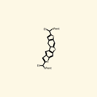 CCCCCC(CC)c1cc2c(s1)C=C1Sc3cc4sc(C(CC)CCCCC)cc4cc3C1C2